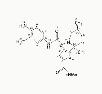 CNC(=O)c1ccc([C@]2(C)CC[C@H](C)CN2C(=O)C(=O)Nc2cnc(N)c(C)c2)s1